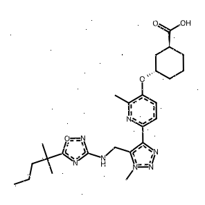 CCCC(C)(C)c1nc(NCc2c(-c3ccc(O[C@H]4CCC[C@H](C(=O)O)C4)c(C)n3)nnn2C)no1